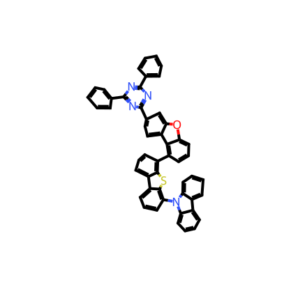 c1ccc(-c2nc(-c3ccccc3)nc(-c3ccc4c(c3)oc3cccc(-c5cccc6c5sc5c(-n7c8ccccc8c8ccccc87)cccc56)c34)n2)cc1